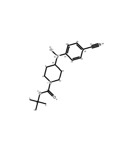 CC(C)(C)OC(=O)N1CCC([S+]([O-])c2ccc(C#N)cc2)CC1